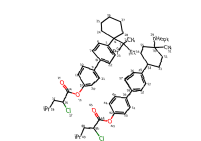 CCCC(C#N)(CC)C1(c2ccc(-c3ccc(OC(=O)C(Cl)CC(C)C)cc3)cc2)CCCCC1.CCCCCCCC1(C#N)CCC(c2ccc(-c3ccc(OC(=O)C(Cl)CC(C)C)cc3)cc2)CC1